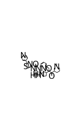 CN1CCCC(C(=O)C(Oc2cccc(NC(=O)Nc3csc(-c4ccncc4)n3)n2)C2CCNC2)C1